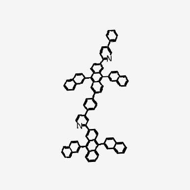 c1ccc(-c2ccc(-c3ccc4c(-c5ccc6ccccc6c5)c5cc(-c6ccc(-c7ccnc(-c8ccc9c(-c%10ccc%11ccccc%11c%10)c%10ccccc%10c(-c%10ccc%11ccccc%11c%10)c9c8)c7)cc6)ccc5c(-c5ccc6ccccc6c5)c4c3)nc2)cc1